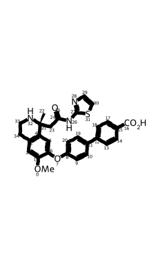 COc1cc2c(cc1Oc1ccc(-c3ccc(C(=O)O)cc3)cc1)[C@@](C)(CC(=O)Nc1nccs1)NCC2